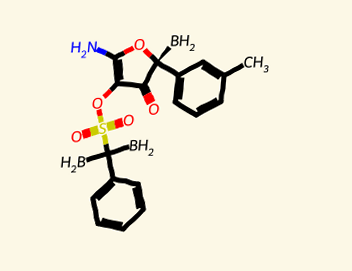 BC(B)(c1ccccc1)S(=O)(=O)OC1=C(N)O[C@](B)(c2cccc(C)c2)C1=O